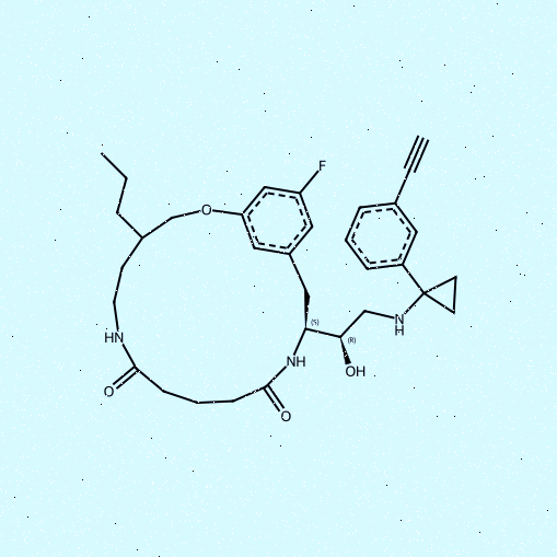 C#Cc1cccc(C2(NC[C@@H](O)[C@@H]3Cc4cc(F)cc(c4)OCC(CCC)CCNC(=O)CCCC(=O)N3)CC2)c1